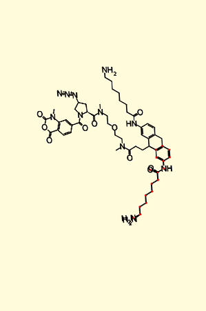 CN(CCOCCN(C)C(=O)[C@@H]1CC(N=[N+]=[N-])CN1C(=O)c1ccc2c(=O)oc(=O)n(C)c2c1)C(=O)CCC12c3cc(NC(=O)CCCCCCCN)ccc3C(c3ccc(NC(=O)CCCCCCCN)cc31)c1ccc(NC(=O)CCCCCCCN)cc12